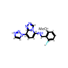 COc1cccc(F)c1CNc1ccc(-n2ccnn2)c2nncn12